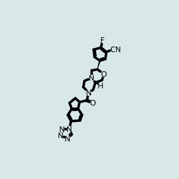 N#Cc1cc([C@@H]2CN3CCN(C(=O)C4CCc5cc(-n6cnnn6)ccc54)C[C@H]3CO2)ccc1F